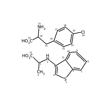 CC(Nc1csc2ccccc12)C(=O)O.NC(Cc1ccc(Cl)cc1)C(=O)O